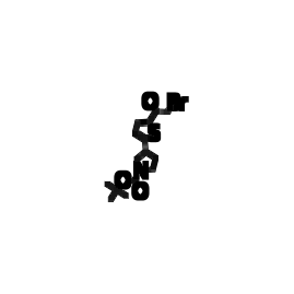 CC(C)(C)OC(=O)N1CCC(c2ccc(C(=O)CBr)s2)C1